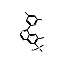 Cc1cc(C)cc(-c2nccc3cc(S(C)(C)C(C)C)c(C)cc23)c1